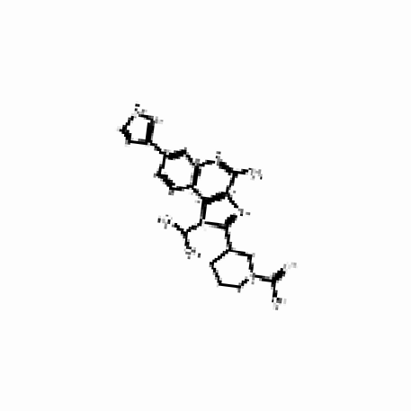 CC(C)n1c(C2CCCN(C(=O)O)C2)nc2c(N)nc3cc(-c4cc[nH]n4)ccc3c21